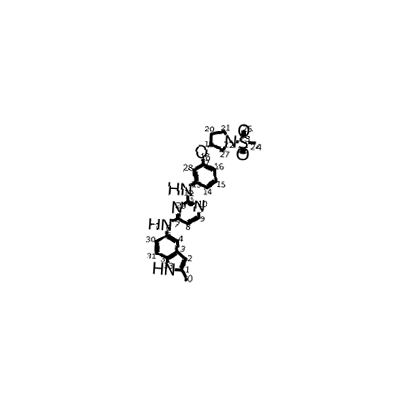 Cc1cc2cc(Nc3ccnc(Nc4cccc(O[C@@H]5CCN(S(C)(=O)=O)C5)c4)n3)ccc2[nH]1